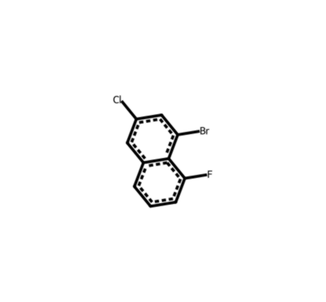 Fc1cccc2cc(Cl)cc(Br)c12